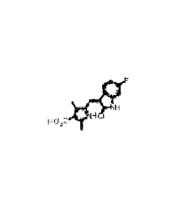 Cc1[nH]c(C=C2C(=O)Nc3cc(F)ccc32)c(C)c1C(=O)O